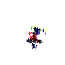 CCN(CC)CCc1cc2c(c(OP(=O)(N[C@@H](C)C(=O)OCc3ccccc3)OP(=O)(O)OC[C@H]3O[C@@H](n4cnc5c(N)nc(Cl)nc54)C[C@H]3O)c1)CCCC2